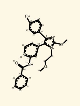 COCCn1c(SC)nc(-c2ccc(F)cc2)c1-c1ccnc(NC(=O)c2ccccc2)c1